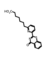 O=C(O)CCCCCCc1cccc(-c2nc(=O)c3ccccc3s2)n1